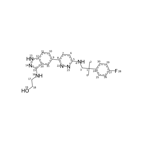 CC(C)(CNc1ccc(-c2ccc3[nH]nc(NCCO)c3c2)nn1)c1ccc(F)cc1